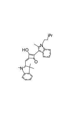 Cc1c(C2=C(O)/C(=C/C3=[N+](C)c4ccccc4C3(C)C)C2=O)c2ccccc2n1CCC(C)C